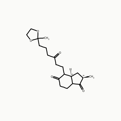 C[C@@H]1C[C@@H]2C(CCC(=O)CCCC3(C)OCCO3)C(=O)CCC2C1=O